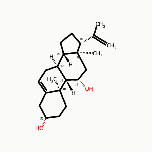 C=C(C)[C@H]1CC[C@H]2[C@@H]3CC=C4C[C@@H](O)CC[C@]4(C)[C@H]3[C@@H](O)C[C@]12C